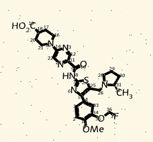 COc1ccc(-c2nc(NC(=O)c3cnc(N4CCC(C(=O)O)CC4)cn3)sc2CN2CCC[C@H]2C)cc1OCF